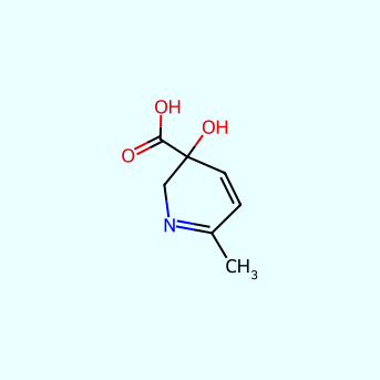 CC1=NCC(O)(C(=O)O)C=C1